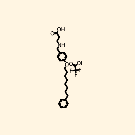 O=C(O)C(F)(F)F.O=C(O)CCNCc1ccc(OCCCCCCCCc2ccccc2)cc1